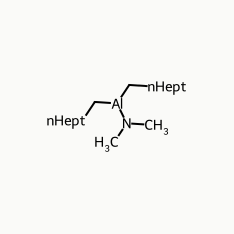 CCCCCCC[CH2][Al]([CH2]CCCCCCC)[N](C)C